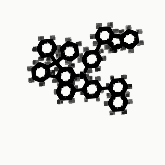 c1ccc(-c2ccc(-c3cccc4ccccc34)cc2N(c2ccc(-c3cccc4c3sc3ccccc34)cc2)c2ccc3c(c2)C(c2ccccc2)(c2ccccc2)c2ccccc2-3)cc1